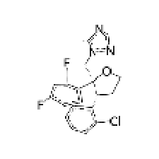 Fc1ccc([C@@]2(Cn3[c]ncn3)OCC[C@@H]2c2ccccc2Cl)c(F)c1